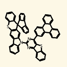 c1ccc2c(c1)Sc1cc3c4ccccc4n(-c4nc(-c5ccc6c7ccccc7c7ccccc7c6c5)c5sc6ccccc6c5n4)c3cc1C21c2ccccc2-c2ccccc21